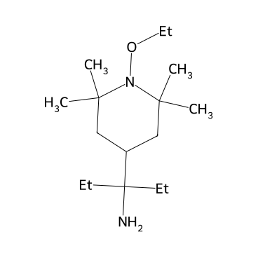 CCON1C(C)(C)CC(C(N)(CC)CC)CC1(C)C